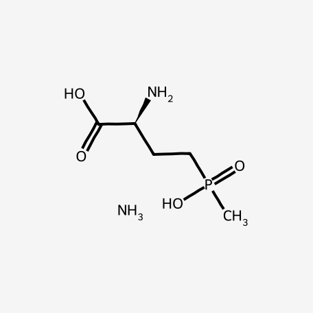 CP(=O)(O)CC[C@H](N)C(=O)O.N